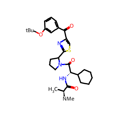 CN[C@@H](C)C(=O)N[C@H](C(=O)N1CCCC1c1nc(C(=O)c2cccc(OC(C)(C)C)c2)cs1)C1CCCCC1